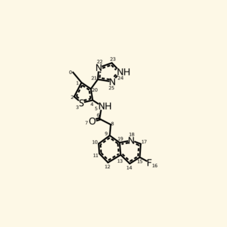 Cc1csc(NC(=O)Cc2cccc3cc(F)cnc23)c1-c1nc[nH]n1